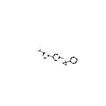 FC(F)c1nnc(-c2cnc(NC3(c4ccccc4)CC3)nc2)o1